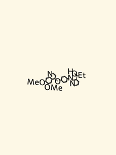 CCC(=O)c1cccnc1Nc1ccc(Oc2ccnc3cc(OC)c(OC)cc23)cc1